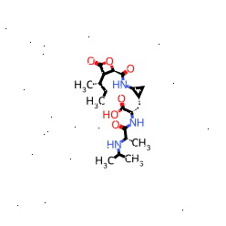 CC[C@H](C)C1C(=O)O[C@H]1C(=O)NC1C[C@@H]1C[C@H](NC(=O)[C@H](C)NC(C)C)C(=O)O